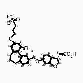 CCS(=O)(=O)CCCOc1cc(C)c2c(c1)CCCc1ccc(COc3ccc4c(c3)OC[C@H]4CC(=O)O)cc1-2